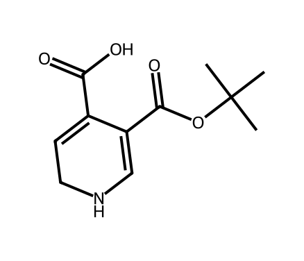 CC(C)(C)OC(=O)C1=CNCC=C1C(=O)O